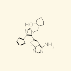 Nc1ncnc2sc(-c3c(-c4ccccc4)ncn3C[C@@H]3CCCC[C@H]3O)cc12